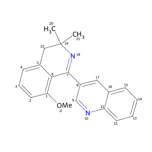 COc1cccc2c1C(c1cnc3ccccc3c1)=NC(C)(C)C2